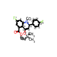 CC(C)(C)OC(=O)c1cc(F)cc2c1C(O[Si](C)(C)C(C)(C)C)=CC(c1ccc(F)cc1)N2C(=O)O